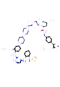 COc1cc(N2CCC(N3CCN(CC(=O)N[C@H](C(=O)N4C[C@H](O)C[C@@H]4C(=O)NCc4ccc(-c5scnc5C)cc4)C(C)(C)C)CC3)CC2)ccc1Nc1ncc(Cl)c(Nc2ccccc2N(C)S(C)(=O)=O)n1